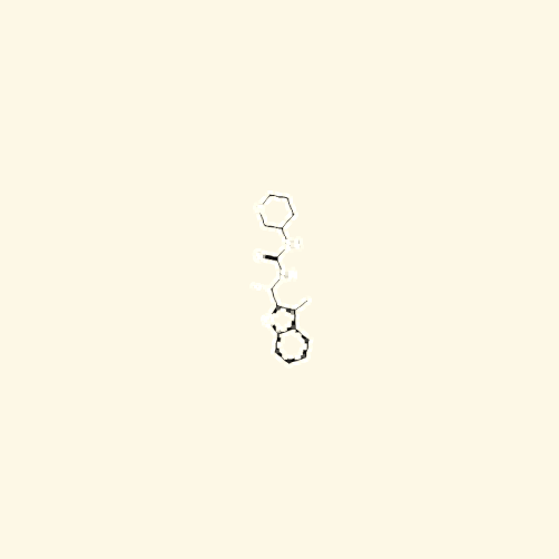 Cc1c([C@H](C)NC(=O)NC2CCCSC2)oc2ccccc12